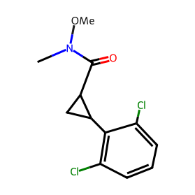 CON(C)C(=O)C1CC1c1c(Cl)cccc1Cl